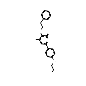 O=c1oc(-c2ccc(OCCO)cc2)cc(O)c1SCCc1ccccc1